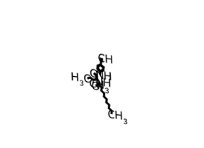 C#Cc1ccc(NC(=O)[C@@H](NC(=O)CCCCCCCCCC)[C@@H](C)CC)cc1